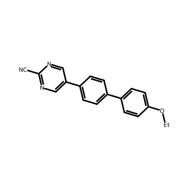 CCOc1ccc(-c2ccc(-c3cnc(C#N)nc3)cc2)cc1